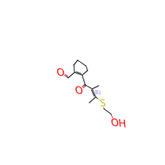 C/C(SCCO)=C(/C)C(=O)C1=C(C=O)CCCC1